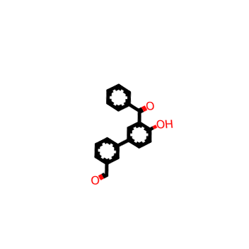 O=Cc1cccc(-c2ccc(O)c(C(=O)c3ccccc3)c2)c1